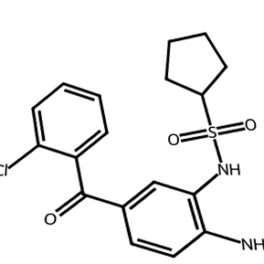 Nc1ccc(C(=O)c2ccccc2Cl)cc1NS(=O)(=O)C1CCCC1